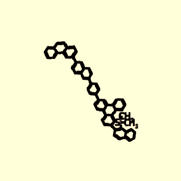 C[Si]1(C)c2c(ccc3ccccc23)-c2ccc3c4ccc(-c5ccc(-c6ccc7cc(-c8ccc9ccc%10ccccc%10c9c8)ccc7c6)cc5)cc4c4ccccc4c3c21